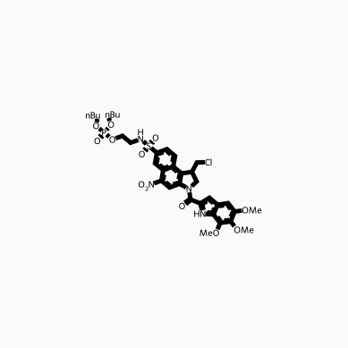 CCCCOP(=O)(OCCCC)OCCNS(=O)(=O)c1ccc2c3c(cc([N+](=O)[O-])c2c1)N(C(=O)c1cc2cc(OC)c(OC)c(OC)c2[nH]1)CC3CCl